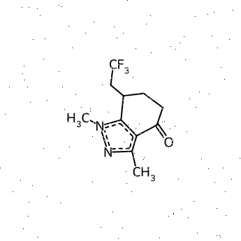 Cc1nn(C)c2c1C(=O)CCC2CC(F)(F)F